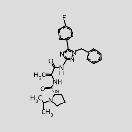 C=C(NC(=O)[C@@H]1CCCN1C(C)C)C(=O)Nc1nc(-c2ccc(F)cc2)n(Cc2ccccc2)n1